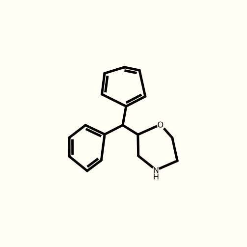 c1ccc(C(c2ccccc2)C2CNCCO2)cc1